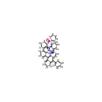 O=P1(c2ccccc2)c2cccc(-c3cccc(-c4c5ccccc5c(-c5ccccc5)c5ccccc45)c3)c2-n2cnc3cccc1c32